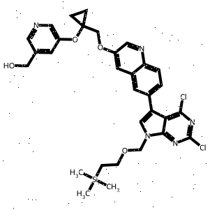 C[Si](C)(C)CCOCn1cc(-c2ccc3ncc(OCC4(Oc5cncc(CO)c5)CC4)cc3c2)c2c(Cl)nc(Cl)nc21